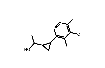 Cc1c(C2CC2C(C)O)ncc(F)c1Cl